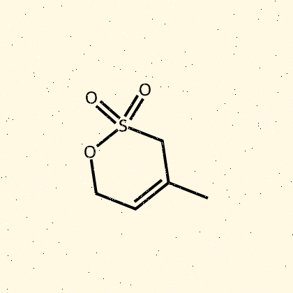 CC1=CCOS(=O)(=O)C1